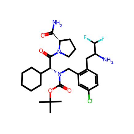 CC(C)(C)OC(=O)N(Cc1cc(Cl)ccc1CC(N)C(F)F)[C@@H](C(=O)N1CCC[C@H]1C(N)=O)C1CCCCC1